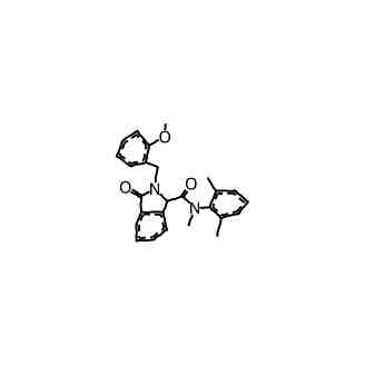 COc1ccccc1CN1C(=O)c2ccccc2C1C(=O)N(C)c1c(C)cccc1C